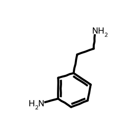 NCCc1cccc(N)c1